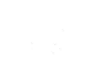 CN(Cc1ccsc1)C(=O)c1ccc(Nc2ncc3c(n2)-c2ccc(Cl)cc2NC(=O)C3)cc1